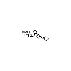 O=C(NO)c1ccc(Cn2c3c(c4cc(CCN5CCOCC5)ccc42)CCCC3)cc1